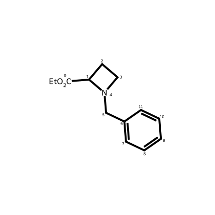 CCOC(=O)C1CCN1Cc1ccccc1